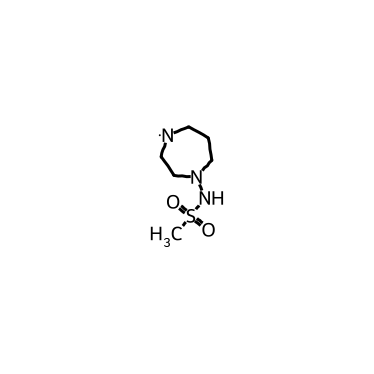 CS(=O)(=O)NN1CCC[N]CC1